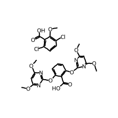 COc1c(Cl)ccc(Cl)c1C(=O)O.COc1cc(OC)nc(Oc2cccc(Oc3nc(OC)cc(OC)n3)c2C(=O)O)n1